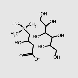 C[N+](C)(C)CC(O)CC(=O)[O-].OCC(O)C(O)C(O)C(O)CO